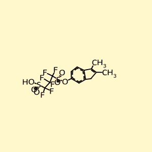 CC1=C(C)c2ccc(OS(=O)(=O)C(F)(F)C(F)(F)C(F)(F)S(=O)(=O)O)cc2C1